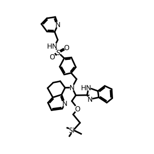 C[Si](C)(C)CCOCC(c1nc2ccccc2[nH]1)N(Cc1ccc(S(=O)(=O)NCc2ccccn2)cc1)C1CCCc2cccnc21